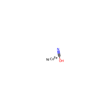 N#CO.[Co].[Fe].[Ni]